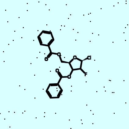 O=C(OC[C@H]1O[C@H](Cl)C(F)C1OC(=O)c1ccccc1)c1ccccc1